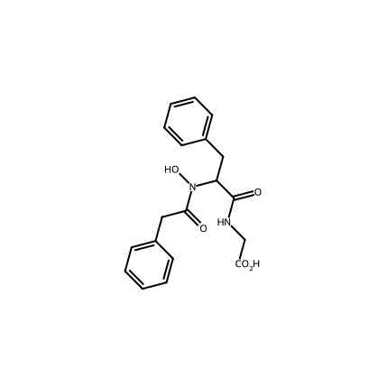 O=C(O)CNC(=O)C(Cc1ccccc1)N(O)C(=O)Cc1ccccc1